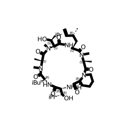 C=C[C@H](C)C[C@@H]1NC(=O)[C@H]([C@@H](O)C(C)C)N(C)C(=O)[C@H](C)N(C)C(=O)[C@@H]([C@@H](C)CC)NC(=O)[C@@H]([C@H](O)C(C)C)NC(=O)[C@H]2CCCCN2C(=O)[C@H](C)N(C)C1=O